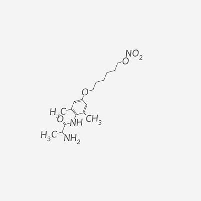 Cc1cc(OCCCCCCO[N+](=O)[O-])cc(C)c1NC(=O)C(C)N